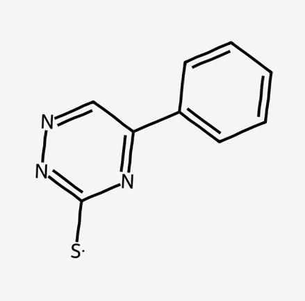 [S]c1nncc(-c2ccccc2)n1